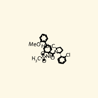 COc1ccccc1C1=CCC(NS(C)(=O)=O)(C(=O)N2[C@@H](c3ccccc3Cl)CC[C@H]2C(=O)O)C=C1